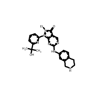 CCn1c(=O)c2cnc(Nc3ccc4c(c3)CNCC4)nc2n1-c1cccc(C(C)(C)O)n1